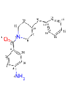 Nc1ccc(C(=O)N2CCC(Cc3ccccc3)CC2)cc1